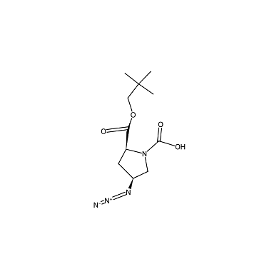 CC(C)(C)COC(=O)[C@@H]1C[C@H](N=[N+]=[N-])CN1C(=O)O